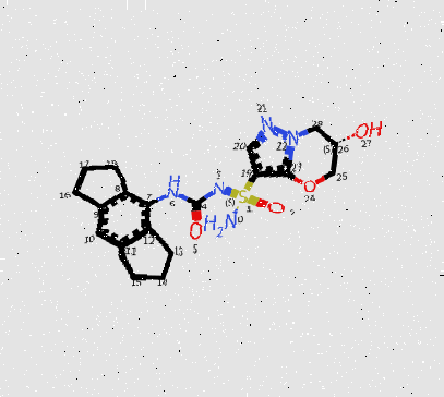 N[S@](=O)(=NC(=O)Nc1c2c(cc3c1CCC3)CCC2)c1cnn2c1OC[C@@H](O)C2